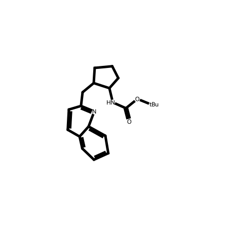 CC(C)(C)OC(=O)NC1CCCC1Cc1ccc2ccccc2n1